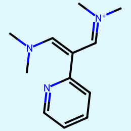 CN(C)/C=C(/C=[N+](C)C)c1ccccn1